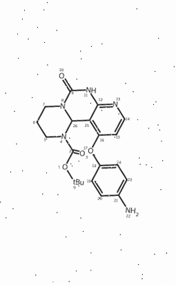 CC(C)(C)OC(=O)N1CCCN2C(=O)Nc3nccc(Oc4ccc(N)cc4)c3C21